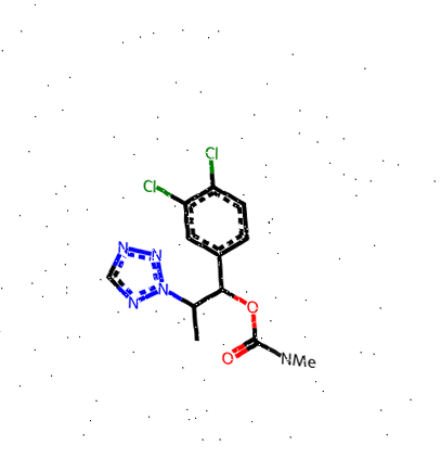 CNC(=O)OC(c1ccc(Cl)c(Cl)c1)C(C)n1ncnn1